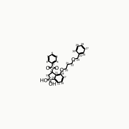 O=S(=O)(c1ccccc1)C1CS(O)(O)c2cccc(OCCCOCc3ccccc3)c21